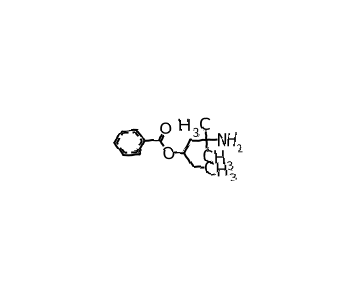 CCC(CC(C)(C)N)OC(=O)c1ccccc1